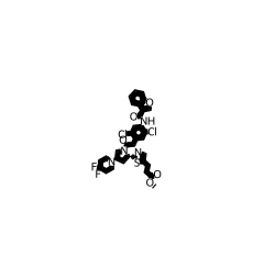 COC(=O)CCc1cnc([C@@H]2C[C@H](N3CCC(F)(F)CC3)CN2C(=O)Cc2cc(Cl)c(NC(=O)c3coc4ccccc34)cc2Cl)s1